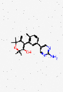 C=C1C(c2cc(-c3cnc(N)nc3)ccc2C)=C(O)C(C)(C)OC1(C)C